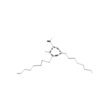 CCCCCCCCc1cc(CCCCCCCC)c(O)c(C(=O)O)c1.[Zn]